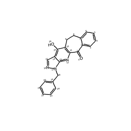 O=C1c2ccccc2CCc2c1nc1c(cnn1Cc1ccccc1)c2O